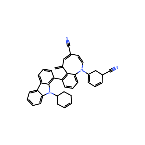 C=C1/C=C(C#N)\C=C/N(C2=CC=CC(C#N)C2)c2cccc(-c3cccc4c5ccccc5n(C5CC=CCC5)c34)c21